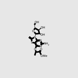 C=C1Sc2c(OC(C)C(=O)OC)nc(N)nc2N1[C@@H]1O[C@H](CO)[C@@H](O)[C@H]1O